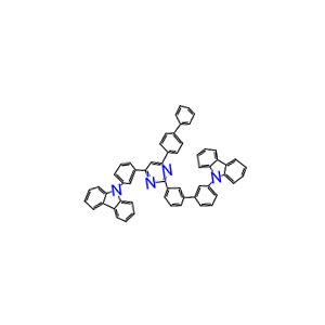 c1ccc(-c2ccc(-c3cc(-c4cccc(-n5c6ccccc6c6ccccc65)c4)nc(-c4cccc(-c5cccc(-n6c7ccccc7c7ccccc76)c5)c4)n3)cc2)cc1